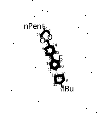 CCCCCC1COC(c2ccc(-c3ccc([C@H]4CC[C@H](CCCC)CC4)cc3F)cc2)OC1